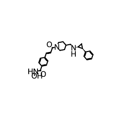 O=C(NO)c1ccc(/C=C/C(=O)N2CCC(CN[C@@H]3C[C@H]3c3ccccc3)CC2)cc1